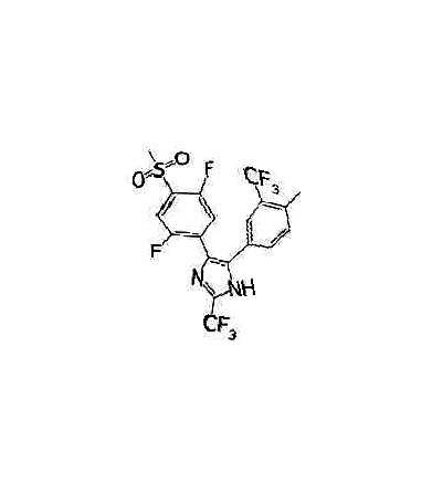 Cc1ccc(-c2[nH]c(C(F)(F)F)nc2-c2cc(F)c(S(C)(=O)=O)cc2F)cc1C(F)(F)F